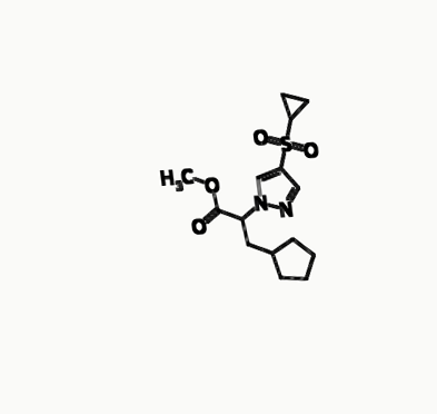 COC(=O)C(CC1CCCC1)n1cc(S(=O)(=O)C2CC2)cn1